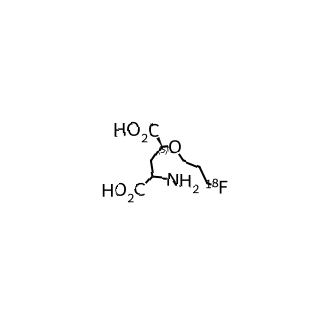 NC(C[C@H](OCCC[18F])C(=O)O)C(=O)O